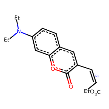 CCOC(=O)/C=C\c1cc2ccc(N(CC)CC)cc2oc1=O